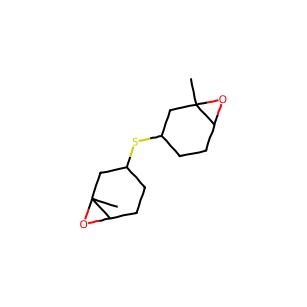 CC12CC(SC3CCC4OC4(C)C3)CCC1O2